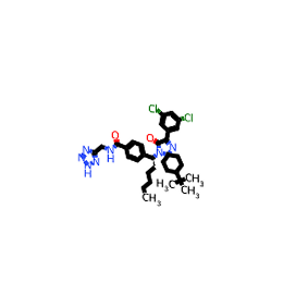 CCCCC[C@H](c1ccc(C(=O)NCc2nn[nH]n2)cc1)N1C(=O)C(c2cc(Cl)cc(Cl)c2)=NC12CCC(C(C)(C)C)CC2